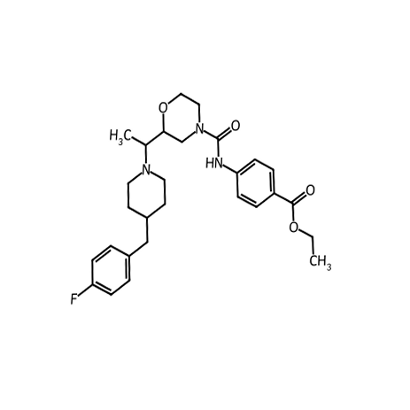 CCOC(=O)c1ccc(NC(=O)N2CCOC(C(C)N3CCC(Cc4ccc(F)cc4)CC3)C2)cc1